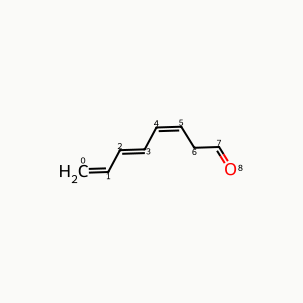 C=C/C=C/C=C\CC=O